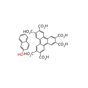 O=C(O)c1cc2c3cc(C(=O)O)c(C(=O)O)cc3c3cc(C(=O)O)c(C(=O)O)cc3c2cc1C(=O)O.Oc1ccc2ccccc2c1